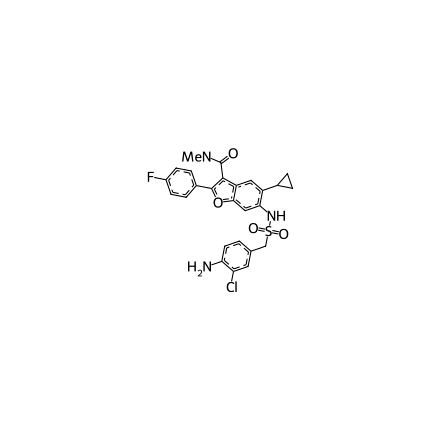 CNC(=O)c1c(-c2ccc(F)cc2)oc2cc(NS(=O)(=O)Cc3ccc(N)c(Cl)c3)c(C3CC3)cc12